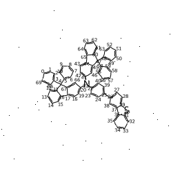 c1ccc(C2(c3ccccc3)c3ccccc3-c3ccc(N(c4ccc(-c5ccc6sc7ccccc7c6c5)cc4)c4ccc5c(c4)C(c4ccccc4)(c4ccccc4)c4ccccc4-5)cc32)cc1